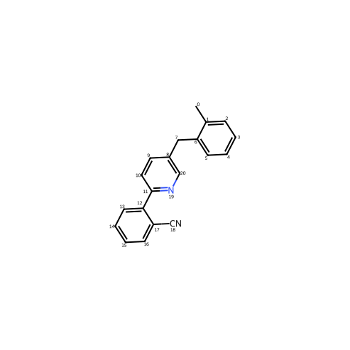 Cc1ccccc1Cc1ccc(-c2ccccc2C#N)nc1